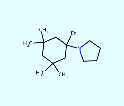 CCC1(N2CCCC2)CC(C)(C)CC(C)(C)C1